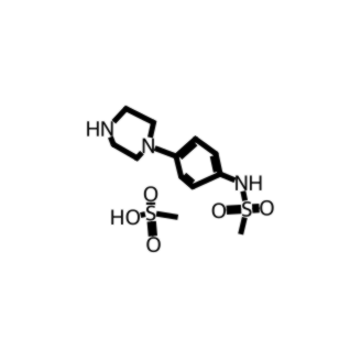 CS(=O)(=O)Nc1ccc(N2CCNCC2)cc1.CS(=O)(=O)O